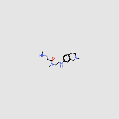 CNCCC(=O)N(C)CCNc1ccc2c(c1)CN(C)CC2